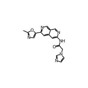 Cc1ncc(-c2cc3cc(NC(=O)Cn4ccnc4)ncc3cn2)o1